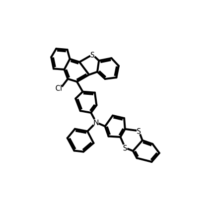 Clc1c(-c2ccc(N(c3ccccc3)c3ccc4c(c3)Sc3ccccc3S4)cc2)c2c3ccccc3sc2c2ccccc12